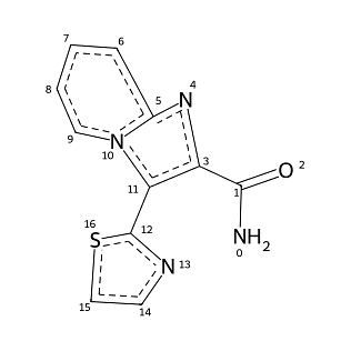 NC(=O)c1nc2ccccn2c1-c1nccs1